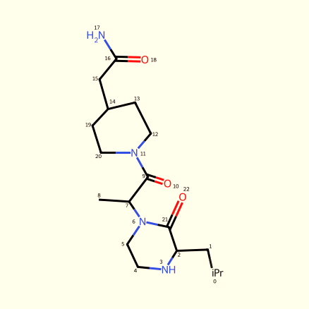 CC(C)CC1NCCN(C(C)C(=O)N2CCC(CC(N)=O)CC2)C1=O